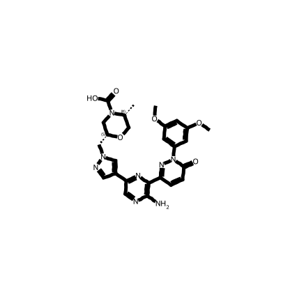 COc1cc(OC)cc(-n2nc(-c3nc(-c4cnn(C[C@@H]5CN(C(=O)O)[C@H](C)CO5)c4)cnc3N)ccc2=O)c1